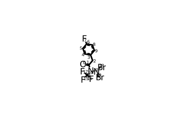 O=C(Cc1ccc(F)cc1)N(N(Br)Br)C(F)(F)F